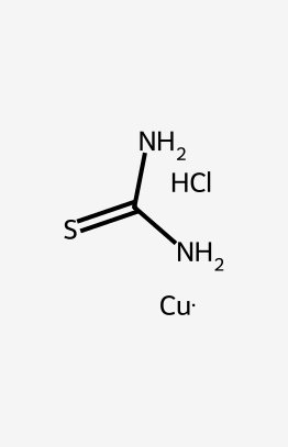 Cl.NC(N)=S.[Cu]